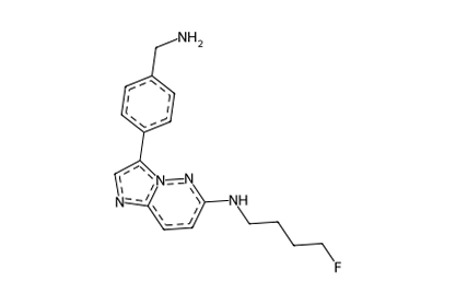 NCc1ccc(-c2cnc3ccc(NCCCCF)nn23)cc1